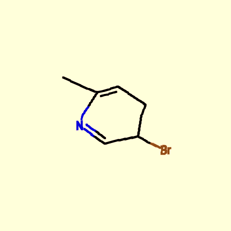 CC1=CCC(Br)C=N1